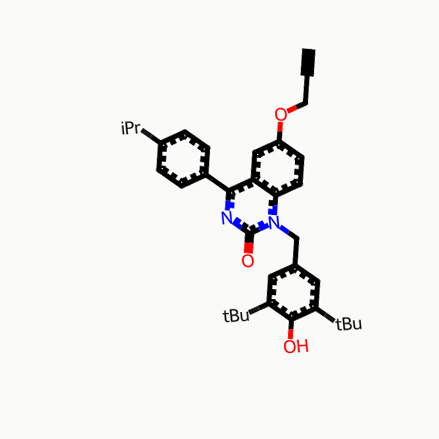 C#CCOc1ccc2c(c1)c(-c1ccc(C(C)C)cc1)nc(=O)n2Cc1cc(C(C)(C)C)c(O)c(C(C)(C)C)c1